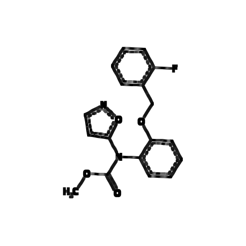 COC(=O)N(c1ccno1)c1ccccc1OCc1ccccc1F